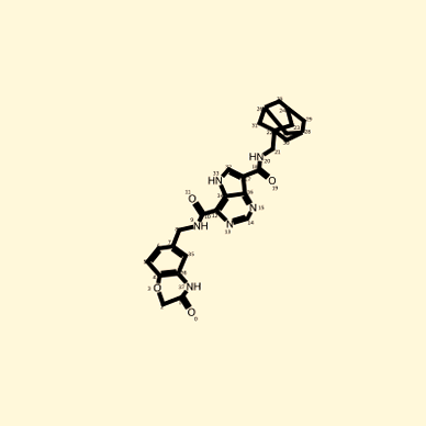 O=C1COc2ccc(CNC(=O)c3ncnc4c(C(=O)NCC56CC7CC(CC(C7)C5)C6)c[nH]c34)cc2N1